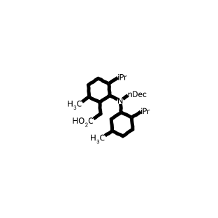 CCCCCCCCCCN(C1CC(C)CCC1C(C)C)C1C(C(C)C)CCC(C)C1CC(=O)O